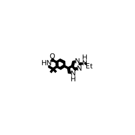 CCNc1ncc2c(-c3ccc4c(c3)C(C)(C)CNC4=O)c[nH]c2n1